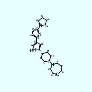 c1[nH]c([C@H]2CC[C@H](N3CCCOCC3)CC2)cc1-c1csc(N2CCCC2)n1